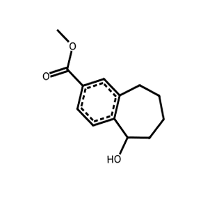 COC(=O)c1ccc2c(c1)CCCCC2O